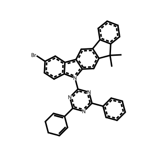 CC1(C)c2ccccc2-c2cc3c4cc(Br)ccc4n(-c4nc(C5=CCCC=C5)nc(-c5ccccc5)n4)c3cc21